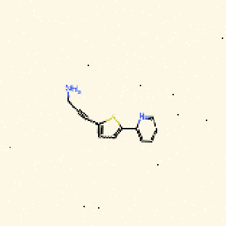 NCC#Cc1ccc(-c2ccccn2)s1